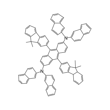 CC1(C)c2ccccc2-c2ccc(-c3c4ccc(N(c5ccc6ccccc6c5)c5ccc6ccccc6c5)cc4c(-c4ccc5c(c4)C(C)(C)C4C=CC=CC54)c4ccc(N(c5ccc6ccccc6c5)c5ccc6ccccc6c5)cc34)cc21